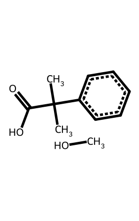 CC(C)(C(=O)O)c1ccccc1.CO